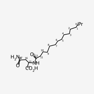 CC(C)CCCCCCCCCCCC(=O)NC(CC(N)=O)C(=O)O